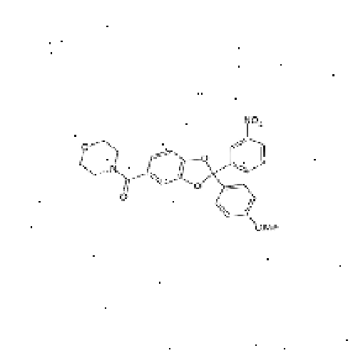 COc1ccc(C2(c3cccc([N+](=O)[O-])c3)Oc3ccc(C(=O)N4CCOCC4)cc3O2)cc1